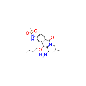 CCCCOc1c(CN)n(CC(C)C)c(=O)c2ccc(NS(C)(=O)=O)cc12